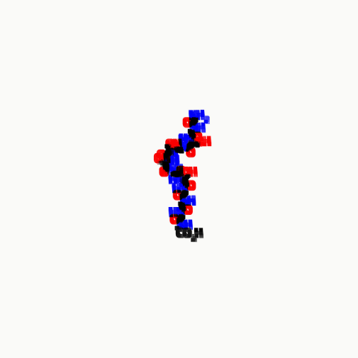 NCC(=O)NCC(=O)N[C@@H](CO)C(=O)NCC(=O)N[C@@H](CO)C(=O)N[C@@H](CO)C(=O)NCC(=O)N[C@@H](CO)C(=O)NCC(=O)NCC(=O)NCC(=O)NCC(=O)O